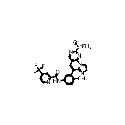 Cc1ccc(NC(=O)c2cc(C(F)(F)F)ccn2)cc1C1=Cc2cnc([S+](C)[O-])nc2N2CCN=C12